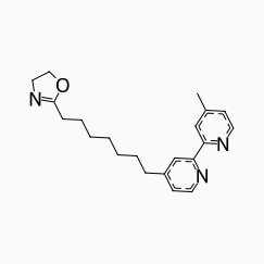 Cc1ccnc(-c2cc(CCCCCCCC3=NCCO3)ccn2)c1